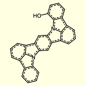 Oc1cccc2c3cccc4c5cc6c(cc5n(c12)c43)c1cccc2c3ccccc3n6c21